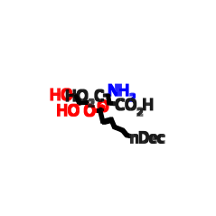 CCCCCCCCCCCCCC=CC(=O)OCC(O)CO.N[C@@H](CC(=O)O)C(=O)O